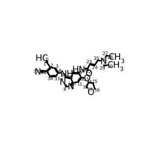 C#Cc1cc(Nc2ncnc3cc(O[C@H]4CCOC4)c(NC(=O)C=CCN(CC)CC)cc23)ccc1C#N